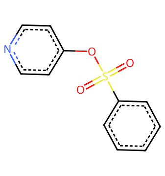 O=S(=O)(Oc1ccncc1)c1ccccc1